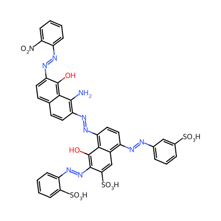 Nc1c(N=Nc2ccc(N=Nc3cccc(S(=O)(=O)O)c3)c3cc(S(=O)(=O)O)c(N=Nc4ccccc4S(=O)(=O)O)c(O)c23)ccc2ccc(N=Nc3ccccc3[N+](=O)[O-])c(O)c12